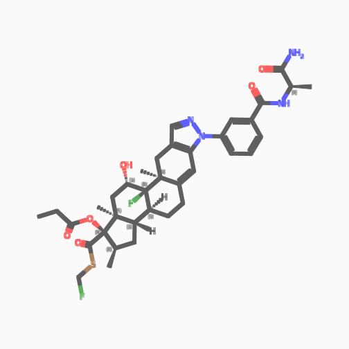 CCC(=O)O[C@]1(C(=O)SCF)[C@H](C)C[C@H]2[C@@H]3CCC4=Cc5c(cnn5-c5cccc(C(=O)N[C@H](C)C(N)=O)c5)C[C@]4(C)[C@@]3(F)[C@@H](O)C[C@@]21C